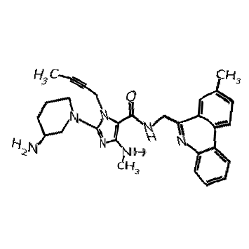 CC#CCn1c(N2CCCC(N)C2)nc(NC)c1C(=O)NCc1nc2ccccc2c2ccc(C)cc12